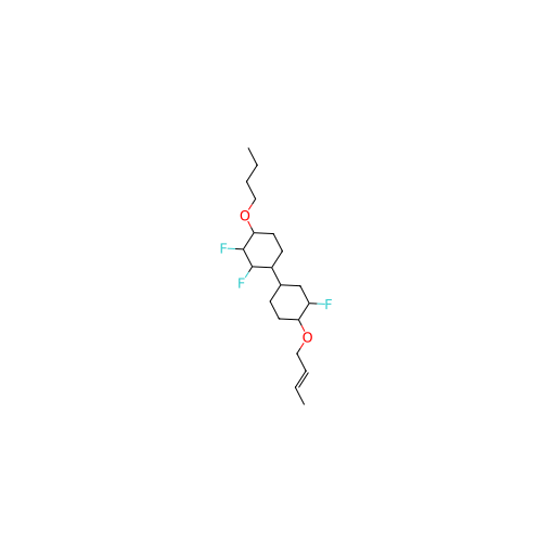 CC=CCOC1CCC(C2CCC(OCCCC)C(F)C2F)CC1F